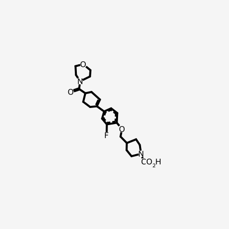 O=C(O)N1CCC(COc2ccc(C3=CCC(C(=O)N4CCOCC4)CC3)cc2F)CC1